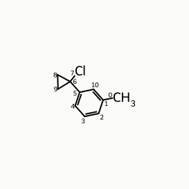 Cc1cccc(C2(Cl)CC2)c1